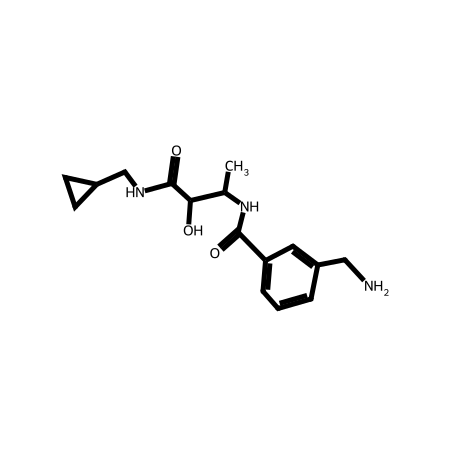 CC(NC(=O)c1cccc(CN)c1)C(O)C(=O)NCC1CC1